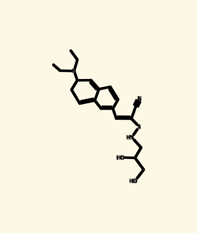 CCN(CC)C1C=c2ccc(/C=C(\C#N)SNCC(O)CO)cc2=CC1